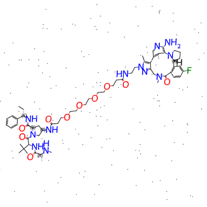 CC[C@H](NC(=O)[C@H]1C[C@@H](NC(=O)CCOCCOCCOCCOCCC(=O)NCCn2nc3c(c2C)-c2cnc(N)c(c2)N2CCC[C@@H]2c2cc(F)ccc2C(=O)N(C)C3)CN1C(=O)C(NC(=O)[C@@H](C)NC)C(C)(C)C)c1ccccc1